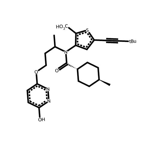 CC(CCOc1ccc(O)nn1)N(c1cc(C#CC(C)(C)C)sc1C(=O)O)C(=O)[C@H]1CC[C@H](C)CC1